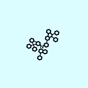 c1ccc(-c2ccc(N(c3cccc(-c4ccc5c(c4)c(-c4ccccc4)c(-c4ccccc4)c4ccccc45)c3)c3ccc4c(c3)C(c3ccccc3)(c3ccccc3)c3ccccc3-4)c3ccccc23)cc1